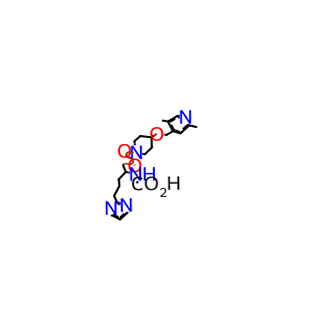 Cc1cc(COC2CCN(S(=O)(=O)CC(CCCc3ncccn3)NC(=O)O)CC2)c(C)cn1